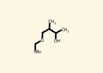 CCCCCOCC(C)C(C)O